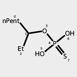 CCCCCC(CC)OP(O)(O)=S